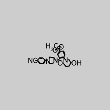 CS(=O)(=O)c1ccc(N2CCCC(O)C2)c(C(=O)N2CCN(c3ccc(C#N)cc3)CC2)c1